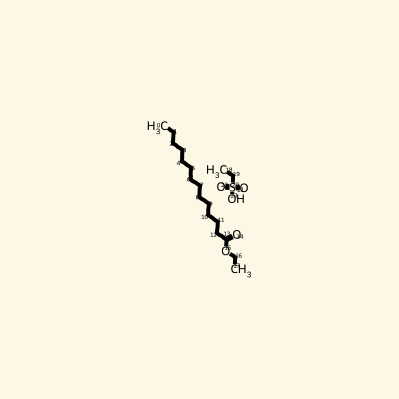 CCCCCCCCCCCCCC(=O)OCC.CCS(=O)(=O)O